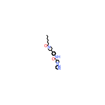 CCCCCCC(=O)N1CCC(c2ccc(NC(=O)[C@H]3CCN(c4cccnn4)C3)cc2)CC1